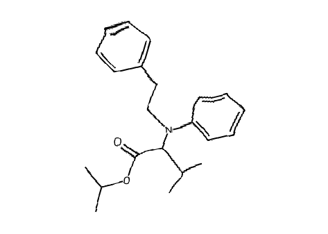 CC(C)OC(=O)C(C(C)C)N(CCc1ccccc1)c1ccccc1